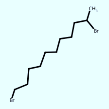 CC(Br)CCCCCCCCCBr